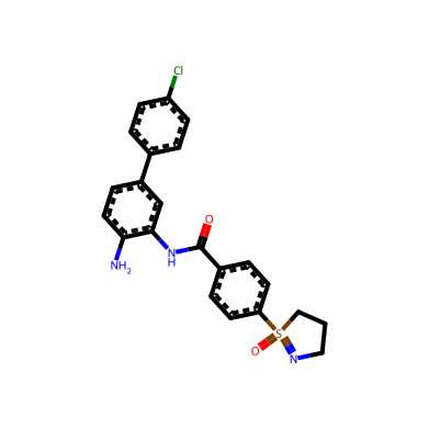 Nc1ccc(-c2ccc(Cl)cc2)cc1NC(=O)c1ccc(S2(=O)=NCCC2)cc1